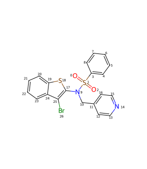 O=S(=O)(c1ccccc1)N(Cc1ccncc1)c1sc2ccccc2c1Br